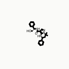 CC1(C)CC(c2ccccc2)Nc2c(C(=O)N[C@H](CO)c3ccccc3)cnn21